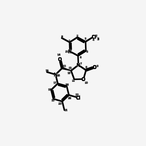 Cc1cc(C(F)(F)F)cc(N2C(=O)OC[C@H]2C(=O)N(C)c2ccc(C)c(Cl)c2)n1